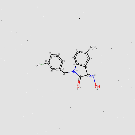 O=C1/C(=N\O)c2cc([N+](=O)[O-])ccc2N1Cc1cccc(F)c1